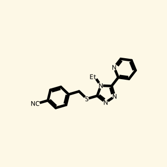 CCn1c(SCc2ccc(C#N)cc2)nnc1-c1ccccn1